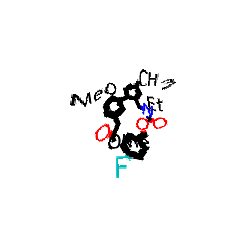 CCN(Cc1cc(C)ccc1-c1cc(CC(=O)OC)ccc1OC)C(=O)OCc1ccc(F)cc1